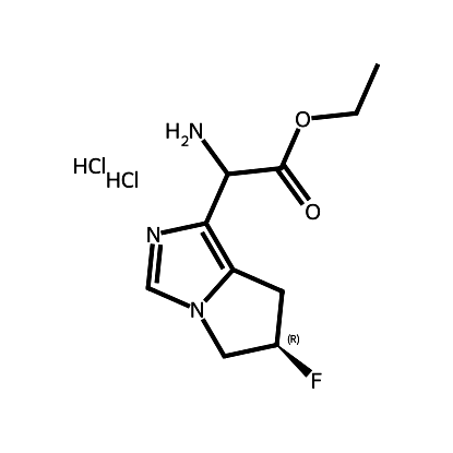 CCOC(=O)C(N)c1ncn2c1C[C@@H](F)C2.Cl.Cl